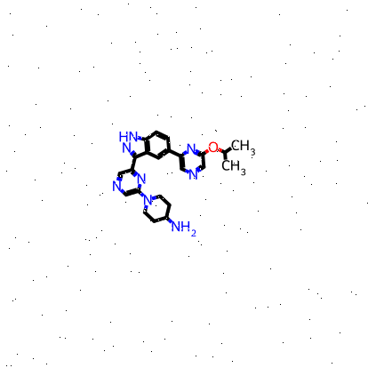 CC(C)Oc1cncc(-c2ccc3[nH]nc(-c4cncc(N5CCC(N)CC5)n4)c3c2)n1